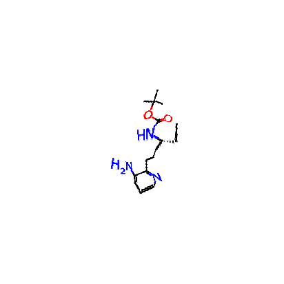 CC[C@H](CCc1ncccc1N)NC(=O)OC(C)(C)C